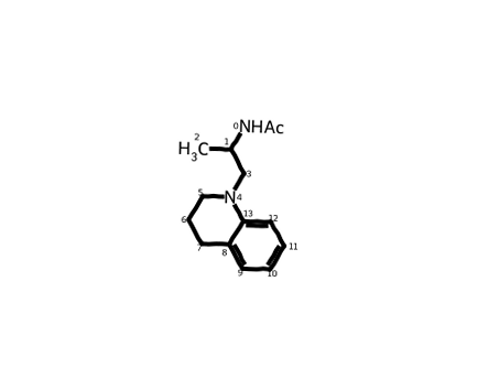 CC(=O)NC(C)CN1CCCc2ccccc21